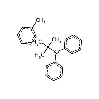 CC(C)(C)[Si](c1ccccc1)c1ccccc1.Cc1ccccc1